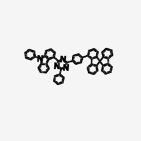 c1ccc(-c2nc(-c3ccc(-c4cccc5c4-c4ccccc4C54c5ccccc5-c5ccccc54)cc3)nc(-c3cccc4c3c3ccccc3n4-c3ccccc3)n2)cc1